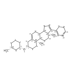 C[C@@H]1CCC[C@H](O[C@H]2CC[C@@]3(C)C(=CCC4C3CC[C@]3(C)C(C5=CN=CCC5)=CCC43)C2)C1